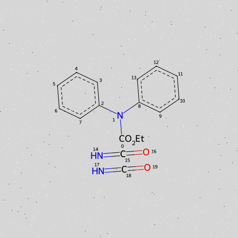 CCOC(=O)N(c1ccccc1)c1ccccc1.N=C=O.N=C=O